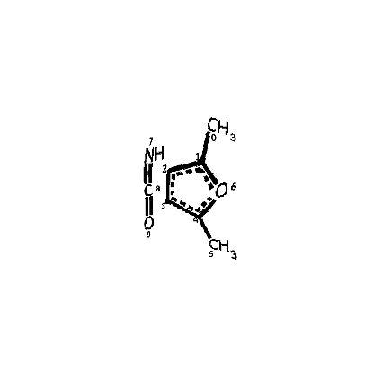 Cc1ccc(C)o1.N=C=O